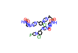 CS(=O)(=O)Nc1ccn(CN2CCN(Cc3ccc(Cl)c(N4CCN(C5CC5CS(=O)(=O)Nc5ccn(C(=O)N6CCN(Cc7ccc(Cl)c(N8CCC(F)CC8)c7)CC6)n5)CC4)c3)CC2)n1